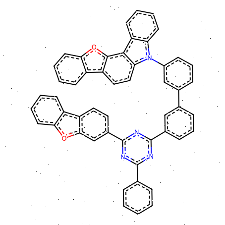 c1ccc(-c2nc(-c3cccc(-c4cccc(-n5c6ccccc6c6c7oc8ccccc8c7ccc65)c4)c3)nc(-c3ccc4c(c3)oc3ccccc34)n2)cc1